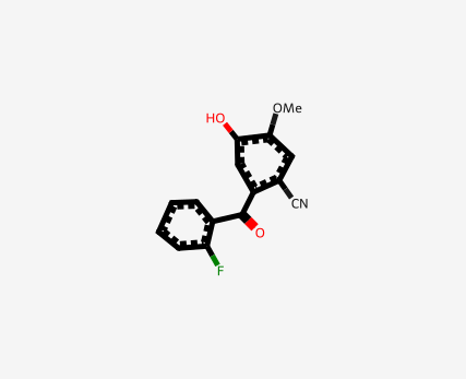 COc1cc(C#N)c(C(=O)c2ccccc2F)cc1O